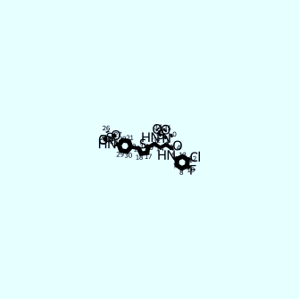 CN1C(C(=O)Nc2ccc(F)c(Cl)c2)CC(c2ccc(-c3ccc(NS(C)(=O)=O)cc3)s2)NS1(=O)=O